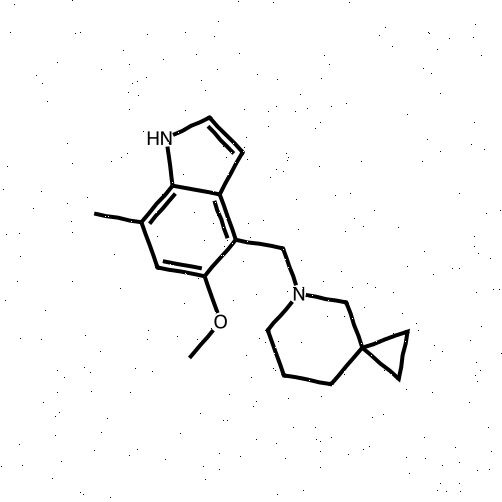 COc1cc(C)c2[nH]ccc2c1CN1CCCC2(CC2)C1